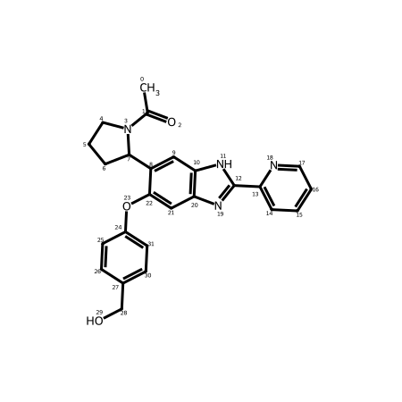 CC(=O)N1CCCC1c1cc2[nH]c(-c3ccccn3)nc2cc1Oc1ccc(CO)cc1